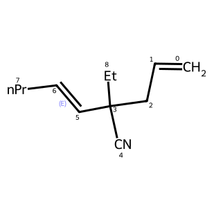 C=CCC(C#N)(/C=C/CCC)CC